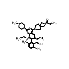 C=CC(=O)N1CC2(CCN(c3nc(C4CCN(C)CC4)nc4c(OCC)c(-c5c(C)ccc(N)c5C=N)c(C=C)cc34)CC2)C1